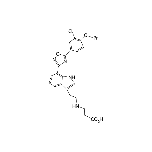 CC(C)Oc1ccc(-c2nc(-c3cccc4c(CCNCCC(=O)O)c[nH]c34)no2)cc1Cl